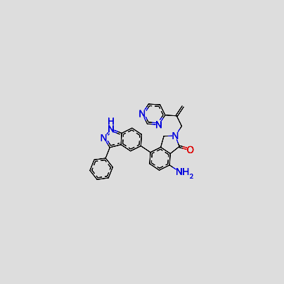 C=C(CN1Cc2c(-c3ccc4[nH]nc(-c5ccccc5)c4c3)ccc(N)c2C1=O)c1ccncn1